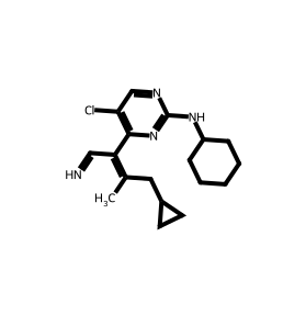 C/C(CC1CC1)=C(\C=N)c1nc(NC2CCCCC2)ncc1Cl